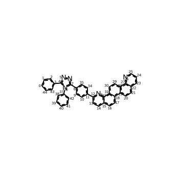 c1ccc(-c2nnc(-c3ccc(-c4ccc5ccc6c7ccc8cccnc8c7ccc6c5n4)cc3)n2-c2ccccc2)cc1